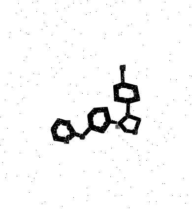 Clc1ccc(N2COC[C@@H]2c2cccc(Oc3ncccn3)c2)cc1